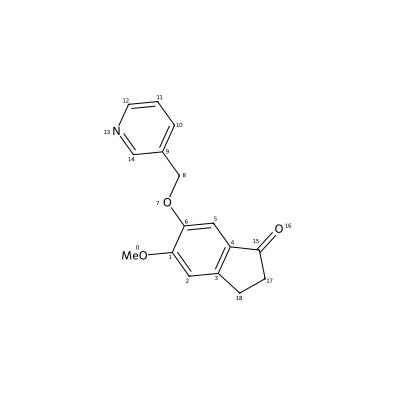 COc1cc2c(cc1OCc1cccnc1)C(=O)CC2